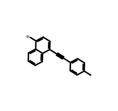 Cc1ccc(C#Cc2ccc(Br)c3ccccc23)cc1